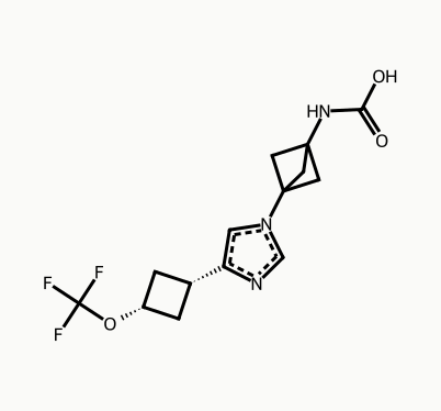 O=C(O)NC12CC(n3cnc([C@H]4C[C@@H](OC(F)(F)F)C4)c3)(C1)C2